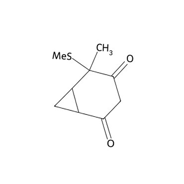 CSC1(C)C(=O)CC(=O)C2CC21